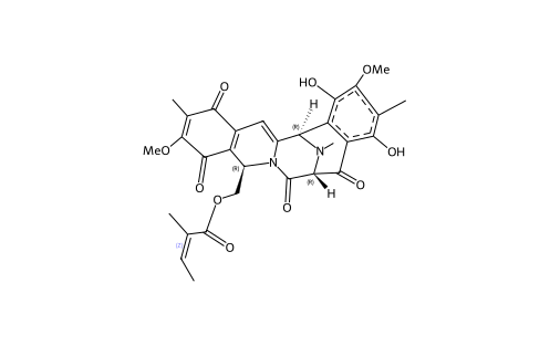 C/C=C(/C)C(=O)OC[C@H]1C2=C(C=C3[C@H]4c5c(O)c(OC)c(C)c(O)c5C(=O)[C@H](C(=O)N31)N4C)C(=O)C(C)=C(OC)C2=O